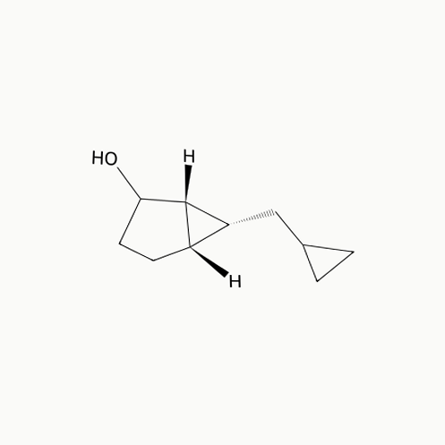 OC1CC[C@H]2[C@@H](CC3CC3)[C@@H]12